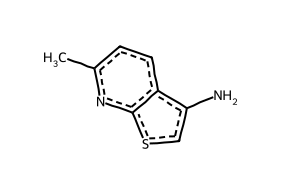 Cc1ccc2c(N)csc2n1